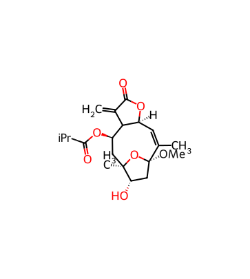 C=C1C(=O)O[C@H]2/C=C(/C)[C@@]3(OC)C[C@H](O)[C@@](C)(C[C@@H](OC(=O)C(C)C)C12)O3